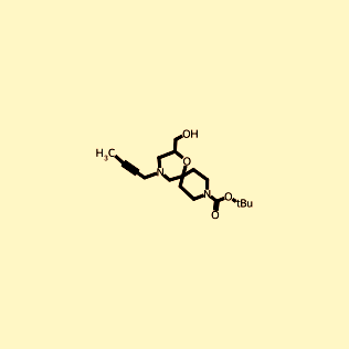 CC#CCN1CC(CO)OC2(CCN(C(=O)OC(C)(C)C)CC2)C1